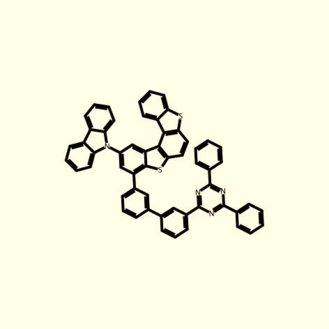 c1ccc(-c2nc(-c3ccccc3)nc(-c3cccc(-c4cccc(-c5cc(-n6c7ccccc7c7ccccc76)cc6c5sc5ccc7sc8ccccc8c7c56)c4)c3)n2)cc1